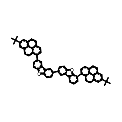 CC(C)(C)c1cc2ccc3ccc(-c4ccc5oc6ccc(-c7ccc8oc9c(-c%10ccc%11ccc%12cc(C(C)(C)C)cc%13ccc%10c%11c%12%13)cccc9c8c7)cc6c5c4)c4ccc(c1)c2c34